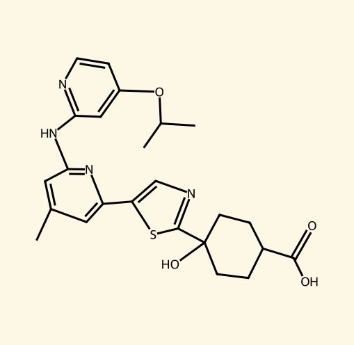 Cc1cc(Nc2cc(OC(C)C)ccn2)nc(-c2cnc(C3(O)CCC(C(=O)O)CC3)s2)c1